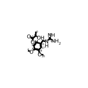 CC(O)C(=O)O.COc1ccc(CNC(=N)N)cc1OC